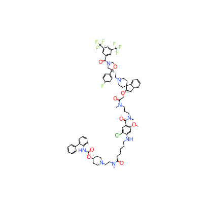 COc1cc(NCCCCCC(=O)N(C)CCN2CCC(OC(=O)Nc3ccccc3-c3ccccc3)CC2)c(Cl)cc1C(=O)N(C)CCCN(C)C(=O)CO[C@H]1Cc2ccccc2C12CCN(CC[C@]1(c3ccc(F)cc3)CN(C(=O)c3cc(C(F)(F)F)cc(C(F)(F)F)c3)CO1)CC2